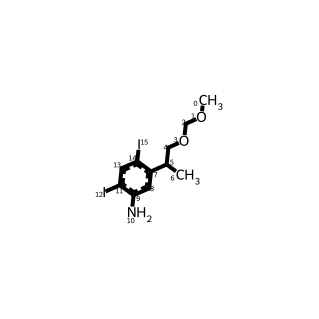 COCOCC(C)c1cc(N)c(I)cc1I